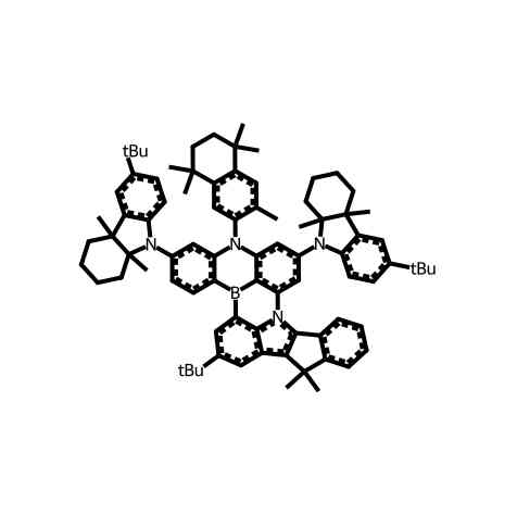 Cc1cc2c(cc1N1c3cc(N4c5ccc(C(C)(C)C)cc5C5(C)CCCCC45C)ccc3B3c4c1cc(N1c5ccc(C(C)(C)C)cc5C5(C)CCCCC15C)cc4-n1c4c(c5cc(C(C)(C)C)cc3c51)C(C)(C)c1ccccc1-4)C(C)(C)CCC2(C)C